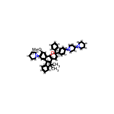 COc1cc2c3c(c4c(c2cc1N1CCCCC1)-c1ccccc1C4(C)C)C=CC(c1ccccc1)(c1ccc(N2CCC(N4CCCCC4)CC2)cc1)O3